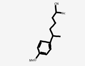 COc1ccc(C(C)CCCC(C#N)C(C)=O)cc1